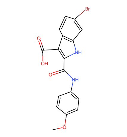 COc1ccc(NC(=O)c2[nH]c3cc(Br)ccc3c2C(=O)O)cc1